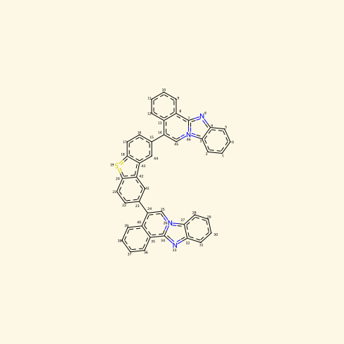 c1ccc2c(c1)nc1c3ccccc3c(-c3ccc4sc5ccc(-c6cn7c8ccccc8nc7c7ccccc67)cc5c4c3)cn21